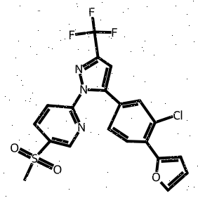 CS(=O)(=O)c1ccc(-n2nc(C(F)(F)F)cc2-c2ccc(-c3ccco3)c(Cl)c2)nc1